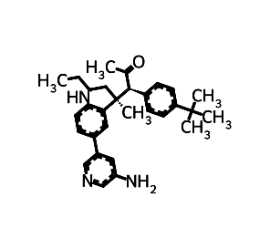 CCC(=N)C[C@](C)(c1cccc(-c2cncc(N)c2)c1)[C@@H](C(C)=O)c1ccc(C(C)(C)C)cc1